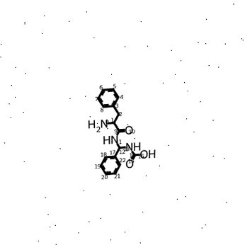 NC(Cc1ccccc1)C(=O)NC(NC(=O)O)c1ccccc1